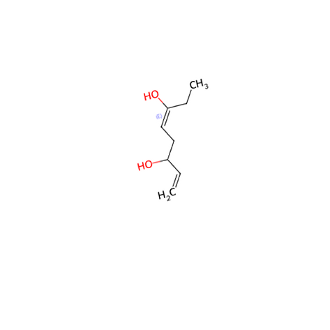 C=CC(O)C/C=C(/O)CC